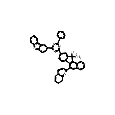 CC1(C)c2cc(-c3nc(-c4ccccc4)nc(-c4ccc5sc6ccccc6c5c4)n3)ccc2-c2c(-c3ccc4c(c3)CCC=C4)cc3ccccc3c21